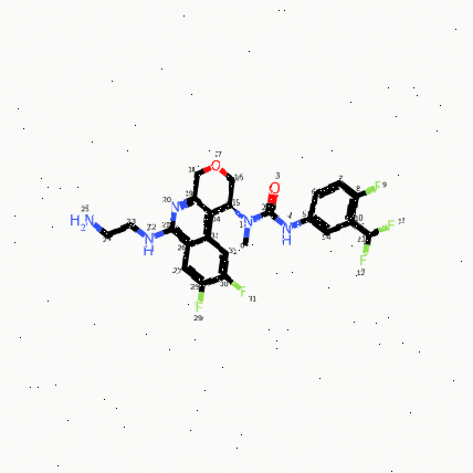 CN(C(=O)Nc1ccc(F)c(C(F)F)c1)[C@@H]1COCc2nc(NCCN)c3cc(F)c(F)cc3c21